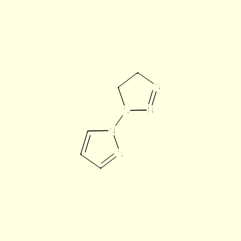 c1cnn(N2CCN=N2)c1